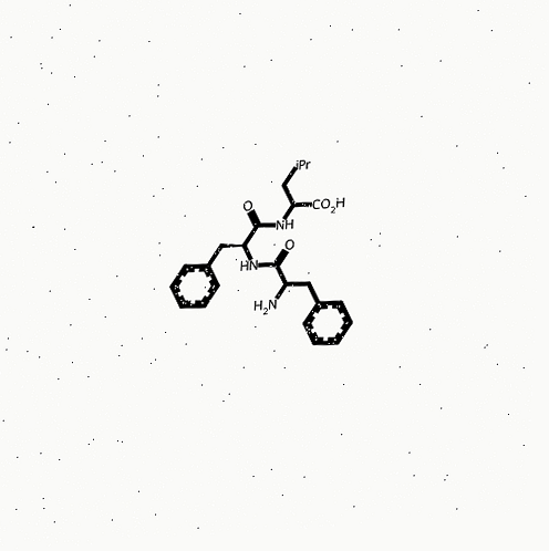 CC(C)CC(NC(=O)[C@H](Cc1ccccc1)NC(=O)C(N)Cc1ccccc1)C(=O)O